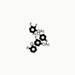 CC(=O)Oc1ccc(F)cc1.CC(=O)Oc1cccc(F)c1.CC(=O)Oc1cccc(F)c1F.CC(=O)Oc1ccccc1F